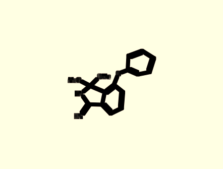 COC1(OC)NC(=N)c2cccc(Oc3ccccc3)c21